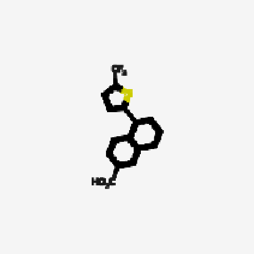 O=C(O)c1ccc2c(-c3ccc(C(F)(F)F)s3)cccc2c1